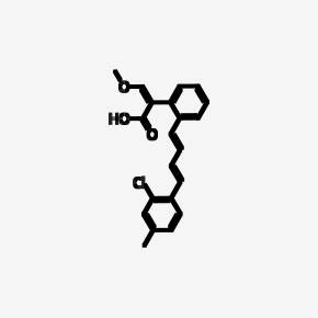 COC=C(C(=O)O)c1ccccc1C=CC=Cc1ccc(C)cc1Cl